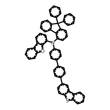 c1ccc(C2(c3ccccc3)c3ccccc3-c3c(N(c4ccc(-c5ccc(-c6ccc7sc8ccccc8c7c6)cc5)cc4)c4cccc5c4oc4ccccc45)cccc32)cc1